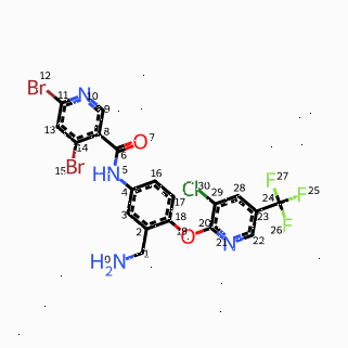 NCc1cc(NC(=O)c2cnc(Br)cc2Br)ccc1Oc1ncc(C(F)(F)F)cc1Cl